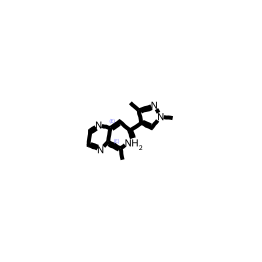 C=C(/C=c1/nccn/c1=C(\C)N)c1cn(C)nc1C